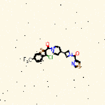 O=C(c1cscn1)N1CC(C2CCN(C(=O)c3sc4cc(C(F)(F)F)ccc4c3Cl)CC2)C1